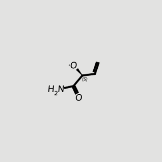 C=C[C@H]([O])C(N)=O